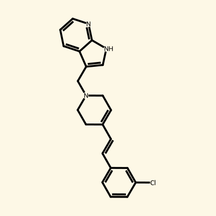 Clc1cccc(C=CC2=CCN(Cc3c[nH]c4ncccc34)CC2)c1